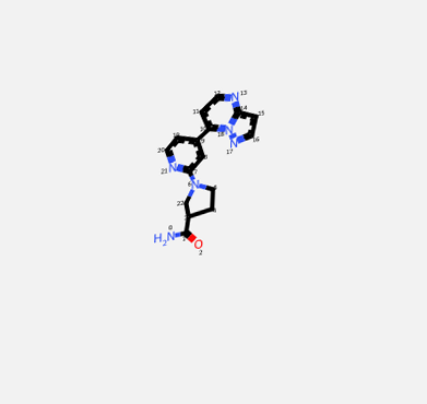 NC(=O)C1CCN(c2cc(-c3ccnc4ccnn34)ccn2)C1